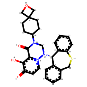 O=C1c2c(O)c(=O)ccn2N([C@H]2c3ccccc3CSc3ccccc32)CN1C1CCC2(CC1)COC2